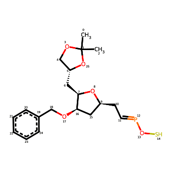 CC1(C)OC[C@@H](C[C@H]2O[C@@H](CC=POS)C[C@H]2OCc2ccccc2)O1